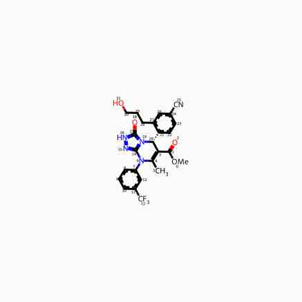 COC(=O)C1=C(C)N(c2cccc(C(F)(F)F)c2)c2n[nH]c(=O)n2[C@@H]1c1ccc(C#N)cc1CCCO